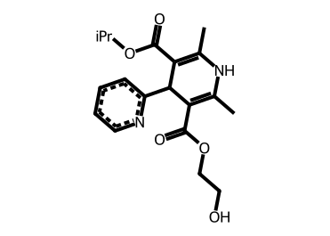 CC1=C(C(=O)OCCO)C(c2ccccn2)C(C(=O)OC(C)C)=C(C)N1